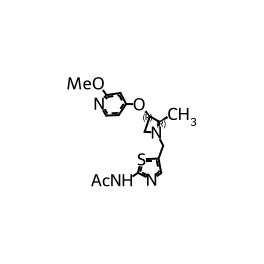 COc1cc(O[C@@H]2CN(Cc3cnc(NC(C)=O)s3)[C@@H]2C)ccn1